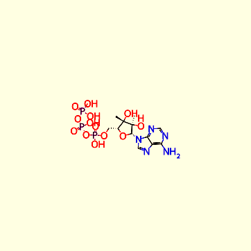 C[C@]1(O)[C@@H](COP(=O)(O)OP(=O)(O)OP(=O)(O)O)O[C@@H](n2cnc3c(N)ncnc32)[C@]1(C)O